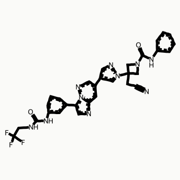 N#CCC1(n2cc(-c3cnn4c(-c5cccc(NC(=O)NCC(F)(F)F)c5)cnc4c3)cn2)CN(C(=O)Nc2ccccc2)C1